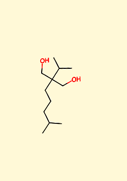 CC(C)CCCC(CO)(CO)C(C)C